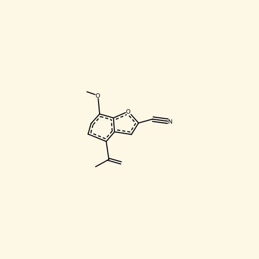 C=C(C)c1ccc(OC)c2oc(C#N)cc12